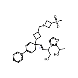 CC(O)c1nccn1C(/C=C/C1(C2CC(CN3CC(S(C)(=O)=O)C3)C2)C=CC(c2ccccc2)=CC1)CO